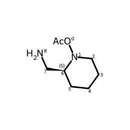 CC(=O)ON1CCCC[C@H]1CN